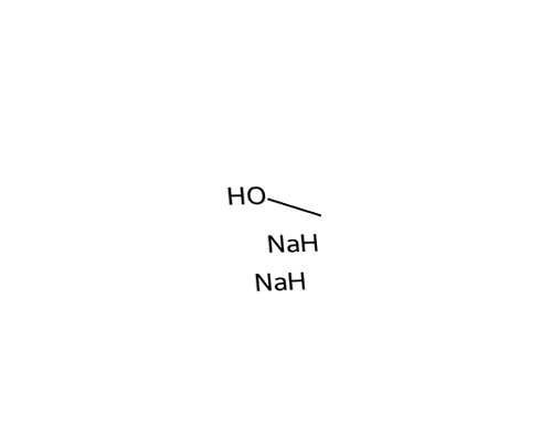 CO.[NaH].[NaH]